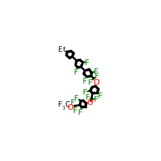 CCc1ccc(-c2cc(F)c(-c3cc(F)c(C(F)(F)Oc4cc(F)c(C(F)(F)Oc5cc(F)c(C(F)(F)OC(F)(F)F)c(F)c5)c(F)c4)c(F)c3)c(F)c2)cc1